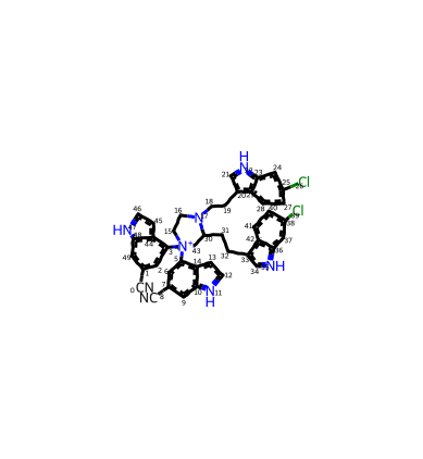 N#Cc1cc([N+]2(c3cc(C#N)cc4[nH]ccc34)CCN(CCc3c[nH]c4cc(Cl)ccc34)C(CCc3c[nH]c4cc(Cl)ccc34)C2)c2cc[nH]c2c1